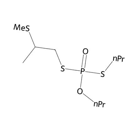 CCCOP(=O)(SCCC)SCC(C)SC